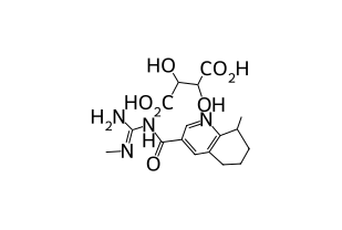 CN=C(N)NC(=O)c1cnc2c(c1)CCCC2C.O=C(O)C(O)C(O)C(=O)O